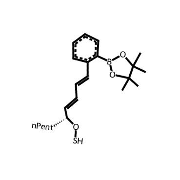 CCCCC[C@H](/C=C/C=C/c1ccccc1B1OC(C)(C)C(C)(C)O1)OS